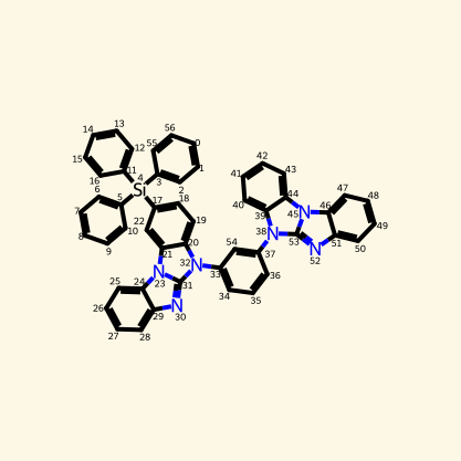 c1ccc([Si](c2ccccc2)(c2ccccc2)c2ccc3c(c2)n2c4ccccc4nc2n3-c2cccc(-n3c4ccccc4n4c5ccccc5nc34)c2)cc1